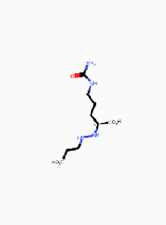 NC(=O)NCCC[C@H](NNCCC(=O)O)C(=O)O